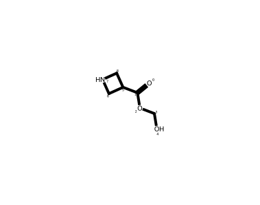 O=C(OCO)C1CNC1